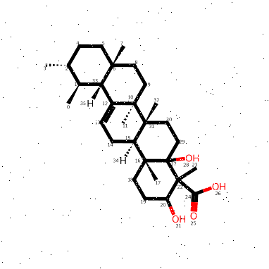 C[C@H]1[C@H](C)CC[C@]2(C)CC[C@]3(C)C(=CC[C@@H]4[C@@]5(C)CCC(O)C(C)(C(=O)O)C5(O)CC[C@]43C)[C@H]12